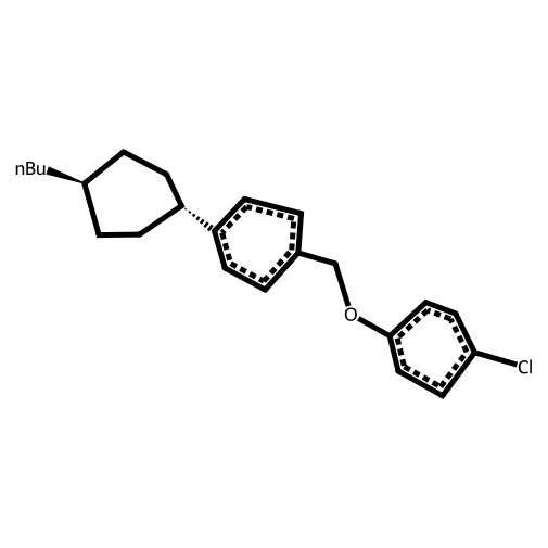 CCCC[C@H]1CC[C@H](c2ccc(COc3ccc(Cl)cc3)cc2)CC1